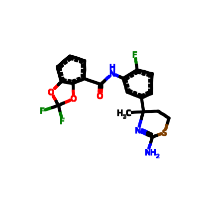 CC1(c2ccc(F)c(NC(=O)c3cccc4c3OC(F)(F)O4)c2)CCSC(N)=N1